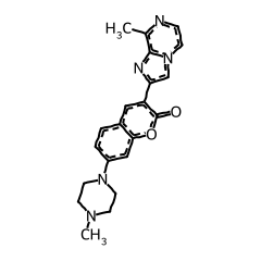 Cc1nccn2cc(-c3cc4ccc(N5CCN(C)CC5)cc4oc3=O)nc12